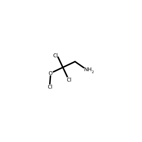 NCC(Cl)(Cl)OCl